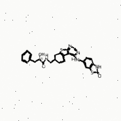 O=C(NCC1CCc2c(sc3ncnc(Nc4ccc5[nH]c(=O)sc5c4)c23)C1)[C@@H](O)Cc1ccccc1